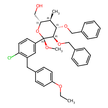 CCOc1ccc(Cc2cc([C@]3(OC)O[C@H](CO)[C@@H](C)[C@H](OCc4ccccc4)[C@H]3OCc3ccccc3)ccc2Cl)cc1